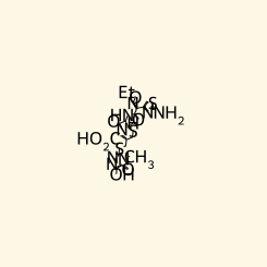 CCON=C(C(=O)NC1C(=O)N2C(C(=O)O)=C(CSc3nnc(O)c(=O)n3C)CS[C@@H]12)c1csc(N)n1